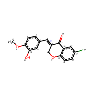 COc1ccc(/C=C2\COc3ccc(F)cc3C2=O)cc1O